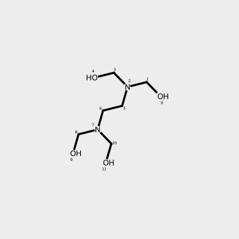 OCN(CO)CCN(CO)CO